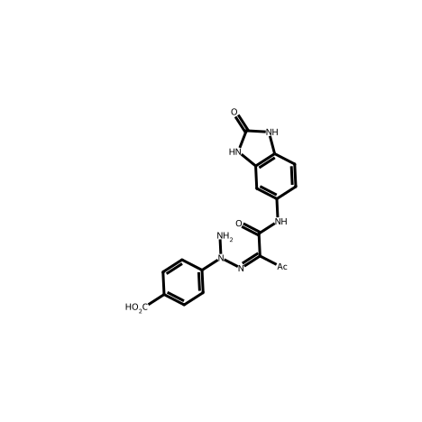 CC(=O)/C(=N/N(N)c1ccc(C(=O)O)cc1)C(=O)Nc1ccc2[nH]c(=O)[nH]c2c1